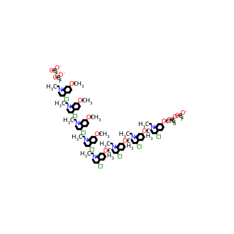 CC[n+]1ccc(Cl)c2ccc(OC)cc21.CC[n+]1ccc(Cl)c2ccc(OC)cc21.CC[n+]1ccc(Cl)c2ccc(OC)cc21.CC[n+]1ccc(Cl)c2ccc(OC)cc21.CC[n+]1ccc(Cl)c2ccc(OC)cc21.CC[n+]1ccc(Cl)c2ccc(OC)cc21.CC[n+]1ccc(Cl)c2ccc(OC)cc21.CC[n+]1ccc(Cl)c2ccc(OC)cc21.[O-]B([O-])F.[O-]B([O-])F.[O-]B([O-])F.[O-]B([O-])F